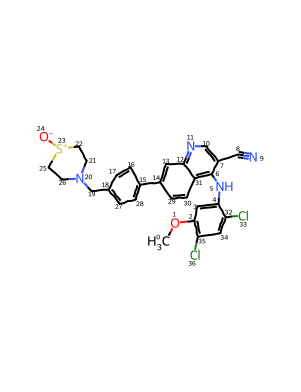 COc1cc(Nc2c(C#N)cnc3cc(-c4ccc(CN5CC[S+]([O-])CC5)cc4)ccc23)c(Cl)cc1Cl